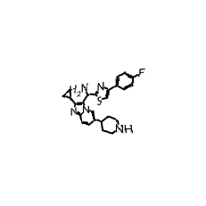 NC(c1nc(-c2ccc(F)cc2)cs1)c1c(C2CC2)nc2ccc(C3CCNCC3)cn12